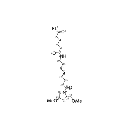 CCC(=O)CCCCC(=O)NCCSSCCCC(=O)N1C[C@H](OC)C[C@H]1COC